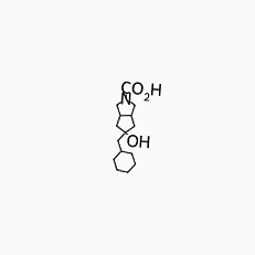 O=C(O)N1CC2CC(O)(CC3CCCCC3)CC2C1